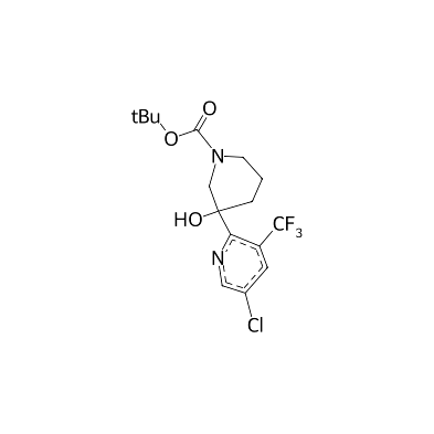 CC(C)(C)OC(=O)N1CCCC(O)(c2ncc(Cl)cc2C(F)(F)F)C1